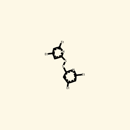 CCc1cc(CC)nc(SSc2cc(CC)cc(CC)n2)c1